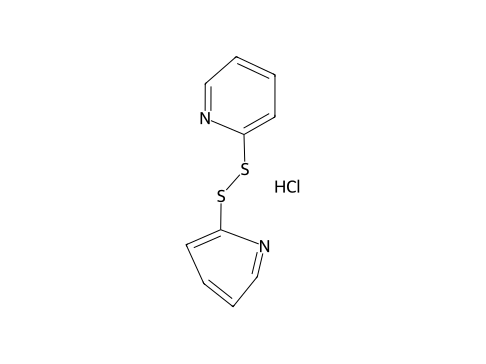 Cl.c1ccc(SSc2ccccn2)nc1